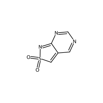 O=S1(=O)C=c2cncnc2=N1